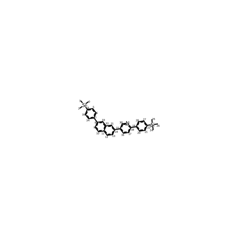 C[Si](C)(C)c1ccc(-c2ccc3ccc(-c4ccc(-c5ccc([Si](C)(C)C)cc5)nc4)cc3c2)cc1